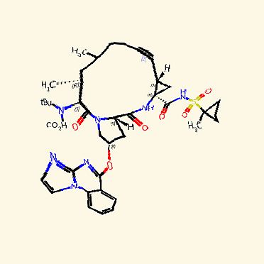 CC1CC/C=C\[C@@H]2C[C@@]2(C(=O)NS(=O)(=O)C2(C)CC2)NC(=O)[C@@H]2C[C@@H](Oc3nc4nccn4c4ccccc34)CN2C(=O)[C@@H](N(C(=O)O)C(C)(C)C)[C@H](C)C1